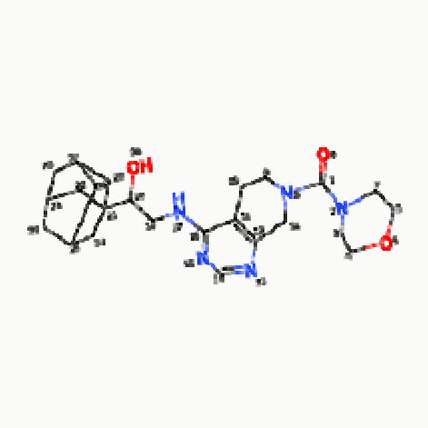 O=C(N1CCOCC1)N1CCc2c(ncnc2NCC(O)C23CC4CC(CC(C4)C2)C3)C1